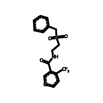 O=C(NCCS(=O)(=O)Cc1ccccc1)c1cnccc1C(F)(F)F